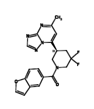 Cc1cc([C@@H]2CN(C(=O)c3ccc4occc4c3)CC(F)(F)C2)n2ncnc2n1